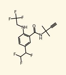 C#CC(C)(C)NC(=O)c1cc(C(F)C(F)F)ccc1NCC(F)(F)F